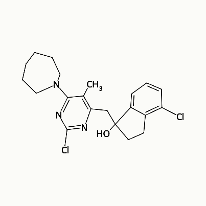 Cc1c(CC2(O)CCc3c(Cl)cccc32)nc(Cl)nc1N1CCCCCC1